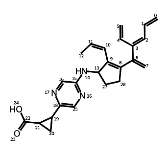 C=C/C=C(\C=C)C(=C)C1=C(/C=C\C)C(Nc2cnc(C3CC3C(=O)O)cn2)CC1